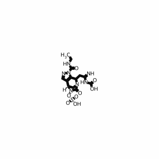 CCNC(=O)n1ncc2c1C(CC(=N)NC(=O)O)N1C[C@H]2N(OS(=O)(=O)O)C1=O